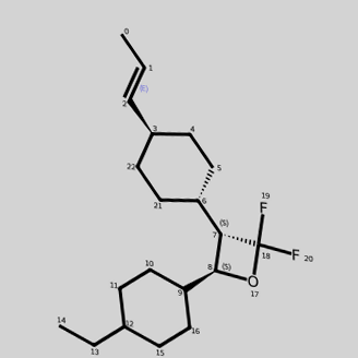 C/C=C/[C@H]1CC[C@H]([C@H]2[C@H](C3CCC(CC)CC3)OC2(F)F)CC1